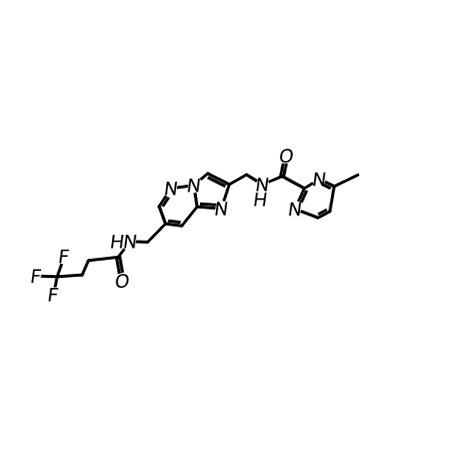 Cc1ccnc(C(=O)NCc2cn3ncc(CNC(=O)CCC(F)(F)F)cc3n2)n1